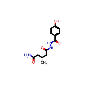 C[C@@H]([CH]C(=O)NNC(=O)c1ccc(O)cc1)CC(N)=O